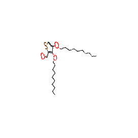 CCCCCCCCCCOc1csc(C=O)c1OCCCCCCCCCC